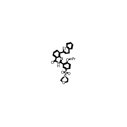 CCCOc1ccc(S(=O)(=O)N2CCOCC2)cc1-c1nc2c(C(=CCc3ccccc3)CC)cccc2c(=O)[nH]1